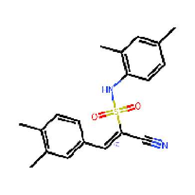 Cc1ccc(NS(=O)(=O)/C(C#N)=C\c2ccc(C)c(C)c2)c(C)c1